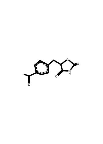 CC(=O)c1ccc(CC2SC(=O)NC2=O)cc1